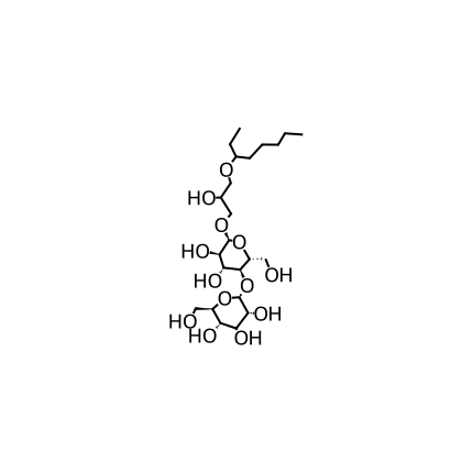 CCCCCC(CC)OCC(O)CO[C@H]1O[C@H](CO)[C@@H](O[C@H]2O[C@H](CO)[C@@H](O)[C@H](O)[C@H]2O)[C@H](O)[C@H]1O